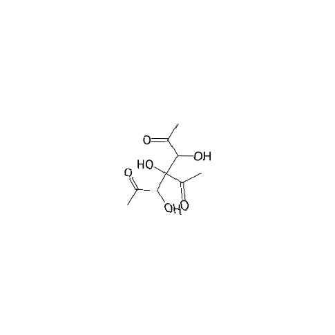 CC(=O)C(O)C(O)(C(C)=O)C(O)C(C)=O